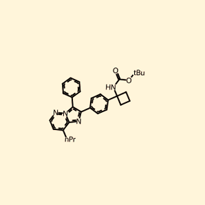 CCCc1ccnn2c(-c3ccccc3)c(-c3ccc(C4(NC(=O)OC(C)(C)C)CCC4)cc3)nc12